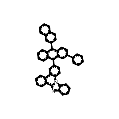 c1ccc(-c2ccc3c(-c4ccc5ccccc5c4)c4ccccc4c(-c4ccc5c(c4)c4ccccc4c4nc6ccccc6n54)c3c2)cc1